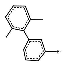 Cc1cccc(C)c1-c1cccc(Br)c1